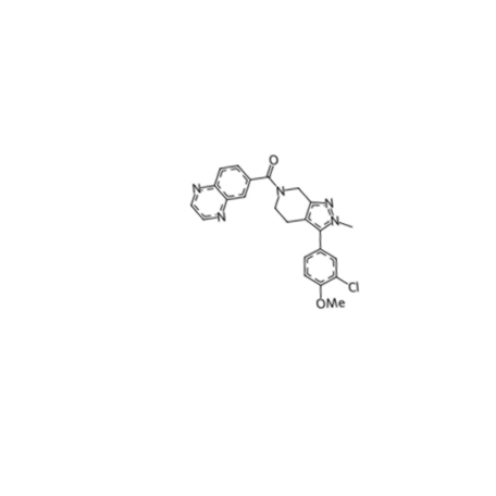 COc1ccc(-c2c3c(nn2C)CN(C(=O)c2ccc4nccnc4c2)CC3)cc1Cl